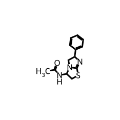 CC(=O)NC1CSC2=NC(c3ccccc3)CN21